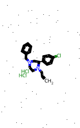 C=CCN1CCN(Cc2ccccc2)C[C@H]1c1ccc(Cl)cc1.Cl.Cl